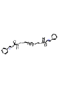 O=C(/C=C/c1ccccc1)NCCCCNCCCNC(=O)/C=C/c1ccccc1